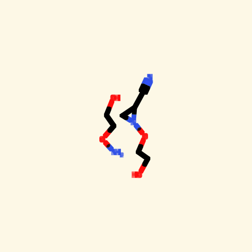 N#CC1CN1OCCO.NOCCO